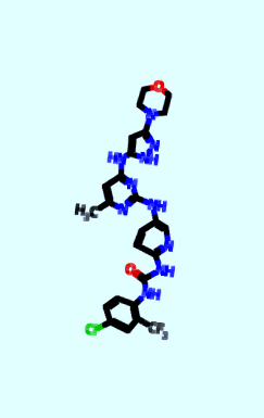 Cc1cc(Nc2cc(N3CCOCC3)n[nH]2)nc(Nc2ccc(NC(=O)Nc3ccc(Cl)cc3C(F)(F)F)nc2)n1